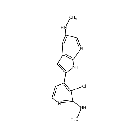 CNc1cnc2[nH]c(-c3ccnc(NC)c3Cl)cc2c1